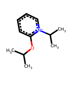 CC(C)Oc1cccc[n+]1C(C)C